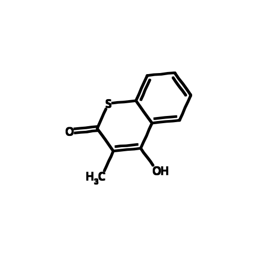 Cc1c(O)c2ccccc2sc1=O